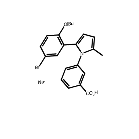 Cc1ccc(-c2cc(Br)ccc2OCC(C)C)n1-c1cccc(C(=O)O)c1.[Na]